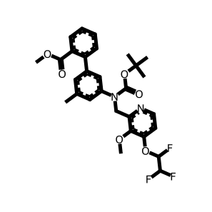 COC(=O)c1ccccc1-c1cc(C)cc(N(Cc2nccc(OC(F)C(F)F)c2OC)C(=O)OC(C)(C)C)c1